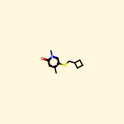 Cc1cc(=O)n(C)cc1SCC1CCC1